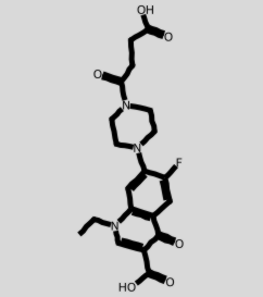 CCn1cc(C(=O)O)c(=O)c2cc(F)c(N3CCN(C(=O)CCC(=O)O)CC3)cc21